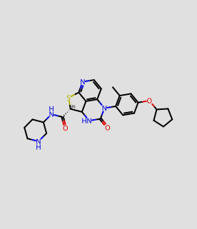 Cc1cc(OC2CCCC2)ccc1N1C(=O)NC2c3c1ccnc3S[C@H]2C(=O)NC1CCCNC1